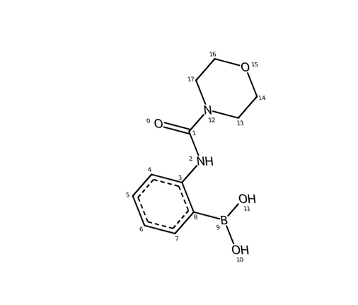 O=C(Nc1ccccc1B(O)O)N1CCOCC1